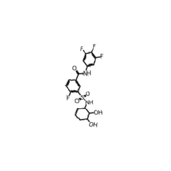 O=C(Nc1cc(F)c(F)c(F)c1)c1ccc(F)c(S(=O)(=O)NC2CCCC(O)C2O)c1